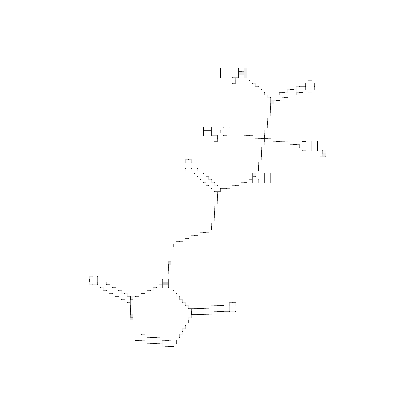 CC(C)(NC(=O)CCN1C(=O)C=CC1=O)C(N)=O